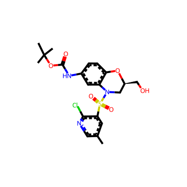 Cc1cnc(Cl)c(S(=O)(=O)N2C[C@H](CO)Oc3ccc(NC(=O)OC(C)(C)C)cc32)c1